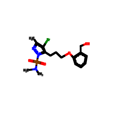 Cc1nn(S(=O)(=O)N(C)C)c(CCCOc2ccccc2CO)c1Br